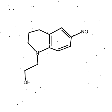 O=Nc1ccc2c(c1)CCCN2CCO